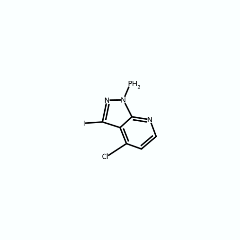 Pn1nc(I)c2c(Cl)ccnc21